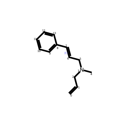 C=CCN(C)C/C=C/c1ccccc1